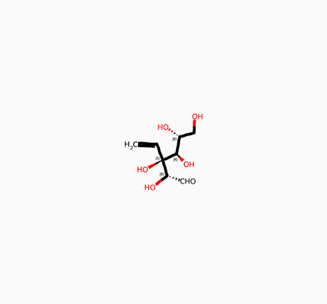 C=C[C@](O)([C@H](O)[C@H](O)CO)[C@@H](O)C=O